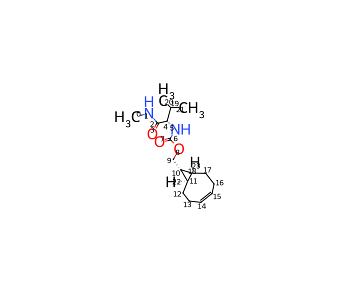 CNC(=O)[C@@H](NC(=O)OC[C@H]1[C@@H]2CC/C=C\CC[C@@H]21)C(C)C